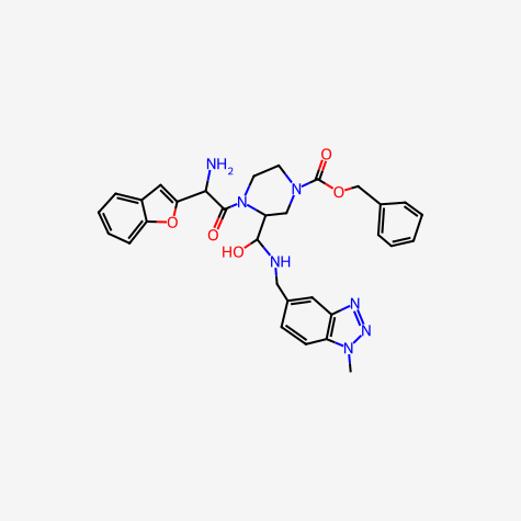 Cn1nnc2cc(CNC(O)C3CN(C(=O)OCc4ccccc4)CCN3C(=O)C(N)c3cc4ccccc4o3)ccc21